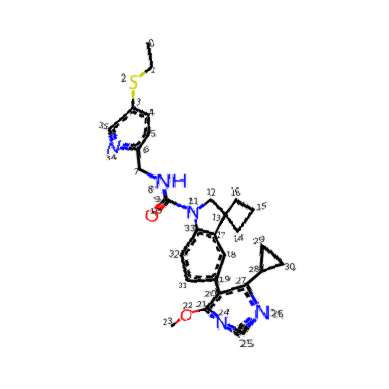 CCSc1ccc(CNC(=O)N2CC3(CCC3)c3cc(-c4c(OC)ncnc4C4CC4)ccc32)nc1